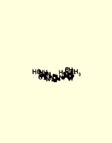 Cc1cccc2c(CNCC3CCN(c4ncc(C(=O)NO)cn4)CC3)cn(C)c12